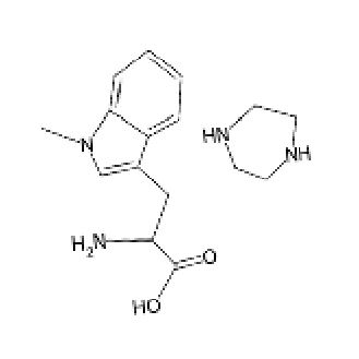 C1CNCCN1.Cn1cc(CC(N)C(=O)O)c2ccccc21